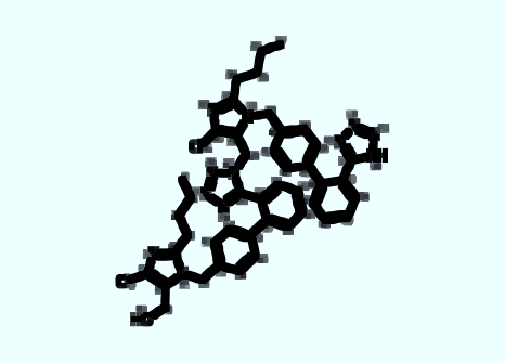 CCCCc1nc(Cl)c(CO)n1Cc1ccc(-c2ccccc2-c2nnnn2Cc2c(Cl)nc(CCCC)n2Cc2ccc(-c3ccccc3-c3nnn[nH]3)cc2)cc1